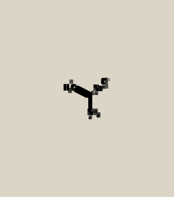 C=CN.[Cl-].[Na+]